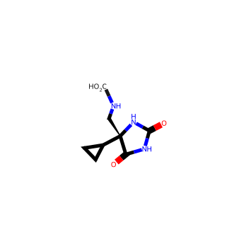 O=C(O)NC[C@@]1(C2CC2)NC(=O)NC1=O